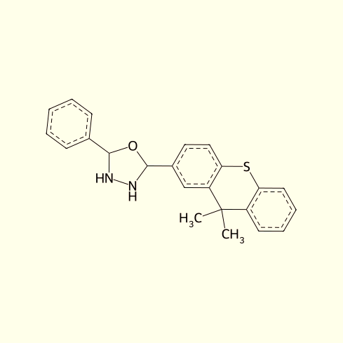 CC1(C)c2ccccc2Sc2ccc(C3NNC(c4ccccc4)O3)cc21